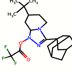 CC(C)(C)C1CCN2C(C34CC5CC(CC(C5)C3)C4)=NN(OC(=O)C(F)(F)F)C2C1